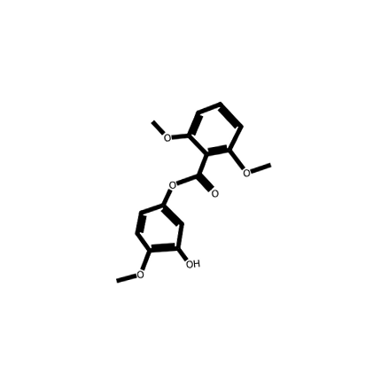 COc1ccc(OC(=O)c2c(OC)cccc2OC)cc1O